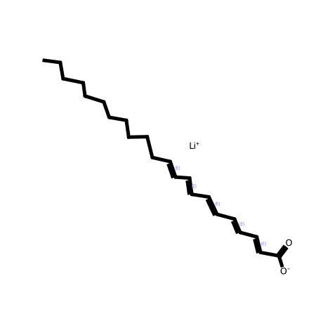 CCCCCCCCCCC/C=C/C=C/C=C/C=C/C=C/C(=O)[O-].[Li+]